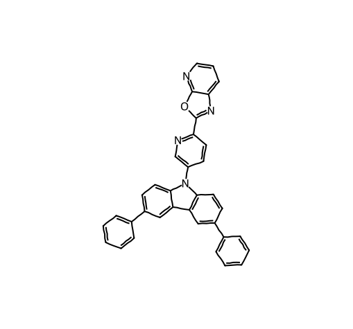 c1ccc(-c2ccc3c(c2)c2cc(-c4ccccc4)ccc2n3-c2ccc(-c3nc4cccnc4o3)nc2)cc1